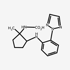 CC1(NC(=O)O)CCCC1Nc1ccccc1-n1nccn1